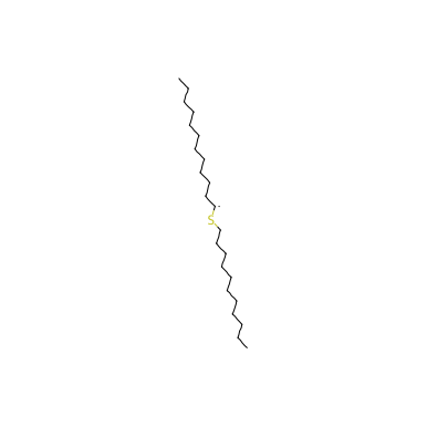 CCCCCCCCCCC[CH]SCCCCCCCCCCC